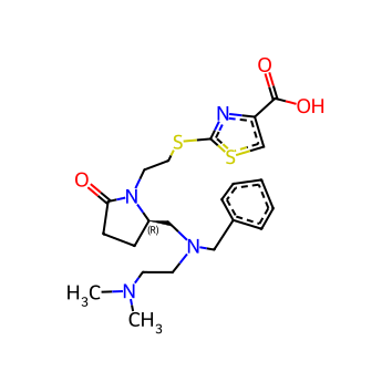 CN(C)CCN(Cc1ccccc1)C[C@H]1CCC(=O)N1CCSc1nc(C(=O)O)cs1